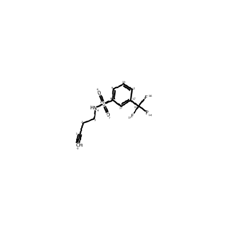 C#CCCNS(=O)(=O)c1cccc(C(F)(F)F)c1